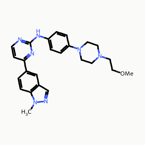 COCCN1CCN(c2ccc(Nc3nccc(-c4ccc5c(cnn5C)c4)n3)cc2)CC1